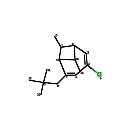 CC1C2C=C(Cl)C=C(CC(C)(C)C)C1C2C